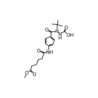 COC(=O)CCCCC(=O)Nc1ccc(C(=O)N(NC(=O)O)C(C)(C)C)cc1